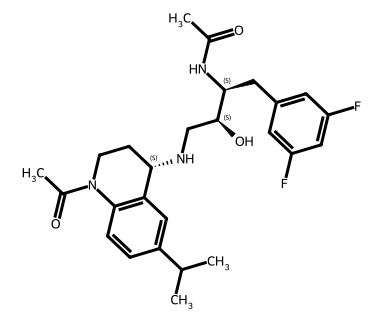 CC(=O)N[C@@H](Cc1cc(F)cc(F)c1)[C@@H](O)CN[C@H]1CCN(C(C)=O)c2ccc(C(C)C)cc21